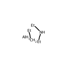 CCNCC.[AlH3].[CH2]CC